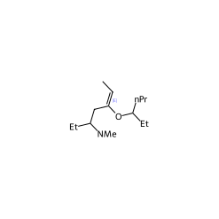 C/C=C(\CC(CC)NC)OC(CC)CCC